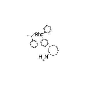 C[C@H]([CH2][Rh][P](c1ccccc1)c1ccccc1)c1ccccc1.N/C1=C/CC/C=C\CC1